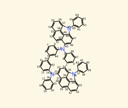 c1ccc(N(c2cccc(-c3cccc(N(c4ccccc4)c4ccc5c6c4ccc4cccc(c46)n5-c4ccccc4)c3)c2)c2ccc3c4c2ccc2cccc(c24)n3-c2ccccc2)cc1